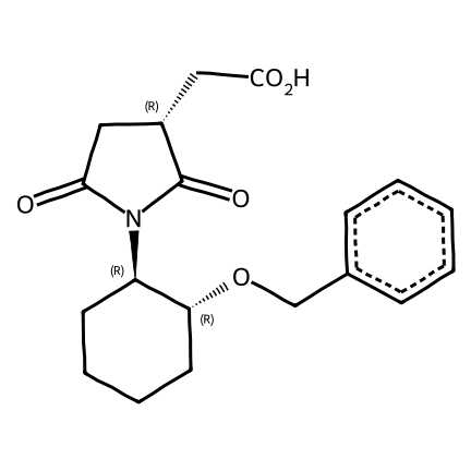 O=C(O)C[C@H]1CC(=O)N([C@@H]2CCCC[C@H]2OCc2ccccc2)C1=O